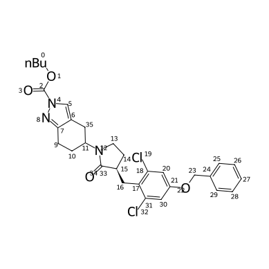 CCCCOC(=O)n1cc2c(n1)CCC(N1CC[C@@H](Cc3c(Cl)cc(OCc4ccccc4)cc3Cl)C1=O)C2